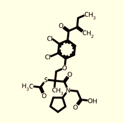 C=C(CC)C(=O)c1ccc(OCC(C)(SC(C)=O)C(=O)N(CC(=O)O)C2CCCC2)c(Cl)c1Cl